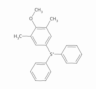 COc1c(C)cc([S+](c2ccccc2)c2ccccc2)cc1C